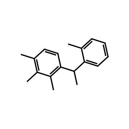 Cc1ccccc1C(C)c1ccc(C)c(C)c1C